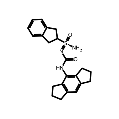 N[S@@](=O)(=NC(=O)Nc1c2c(cc3c1CCC3)CCC2)C1Cc2ccccc2C1